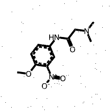 COc1ccc(NC(=O)CN(C)C)cc1[N+](=O)[O-]